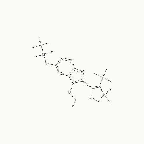 CCOc1c(C2=C(C(C)(C)C)C(C)(C)CO2)sc2ccc(O[Si](C)(C)C(C)(C)C)cc12